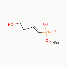 CCC(C)OP(=O)(O)C=CCCO